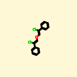 ClC(=COC=C(Cl)c1ccccc1)c1ccccc1